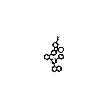 N#Cc1ccc2c(c1)C1(CCCCC1)c1ccc(-c3ccccc3-c3nc(-c4ccccc4)cc(-c4cccc5ccccc45)n3)cc1-2